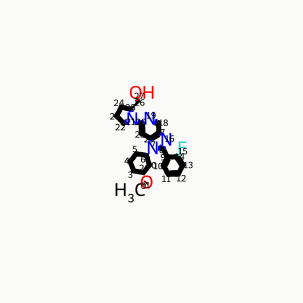 CO[C@@H]1CCC[C@@H](n2c(-c3ccccc3F)nc3cnc(N4CCC[C@H]4CO)cc32)C1